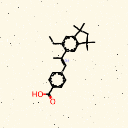 CCc1cc2c(cc1/C(C)=C/c1ccc(C(=O)O)cc1)C(C)(C)CC2(C)C